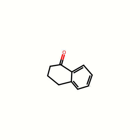 O=C1CCCc2c[c]ccc21